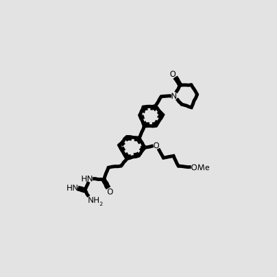 COCCCOc1cc(CCC(=O)NC(=N)N)ccc1-c1ccc(CN2CCCCC2=O)cc1